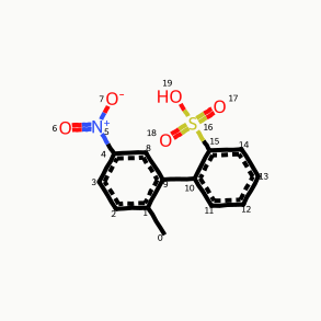 Cc1ccc([N+](=O)[O-])cc1-c1ccccc1S(=O)(=O)O